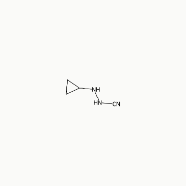 N#CNNC1CC1